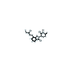 C=C1CCC(N2Cc3c(CCC(=O)CC)cccc3C2=O)C(=O)N1